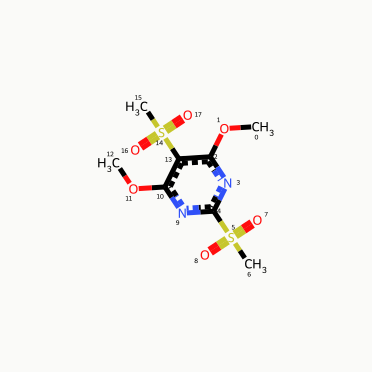 COc1nc(S(C)(=O)=O)nc(OC)c1S(C)(=O)=O